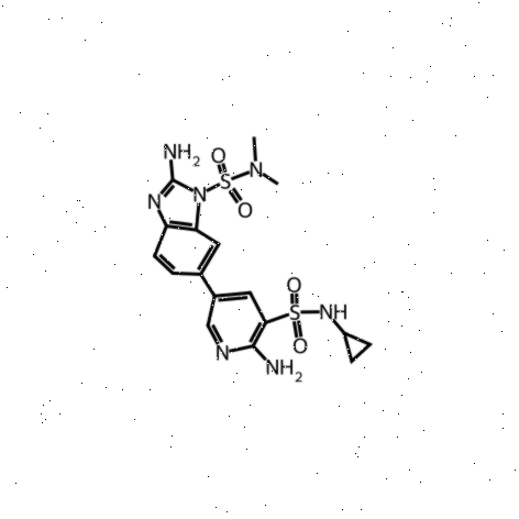 CN(C)S(=O)(=O)n1c(N)nc2ccc(-c3cnc(N)c(S(=O)(=O)NC4CC4)c3)cc21